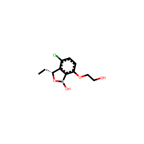 CC[C@H]1OB(O)c2c(OCCO)ccc(Cl)c21